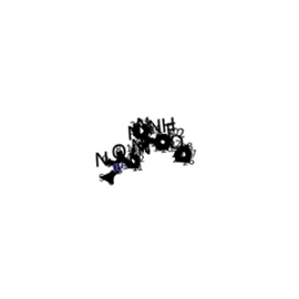 N#C/C(=C\C1CC1)C(=O)N1CCC[C@@H]1Cn1nc(-c2ccc(Oc3ccccc3)c(F)c2)c2c(N)ncnc21